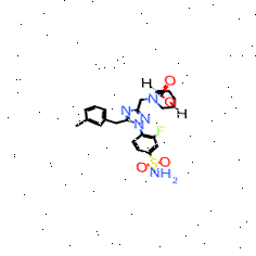 Cc1cccc(Cc2nc(CN3C[C@@H]4CC[C@H]3C(=O)O4)nn2-c2ccc(S(N)(=O)=O)cc2F)c1